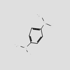 CCN(C#N)c1ccc(N(C#N)CC)cc1